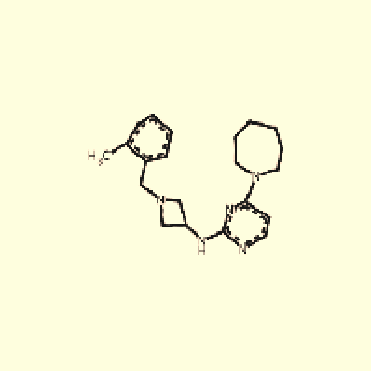 Cc1ccccc1CN1CC(Nc2nccc(N3CCCCCC3)n2)C1